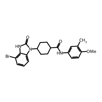 COc1ccc(NC(=O)C2CCC(n3c(=O)[nH]c4c(Br)cccc43)CC2)cc1C